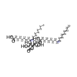 CCCCCCCC/C=C\CCCCCCCC(=O)O.CCCCCCCC/C=C\CCCCCCCC(=O)O.O=C1O[C@H]([C@@H](O)CO)C(O)=C1O